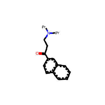 CC(C)N(CCC(=O)c1ccc2ccccc2c1)C(C)C